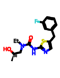 CCN(C[C@H](C)O)C(=O)Nc1ncc(Cc2cccc(F)c2)s1